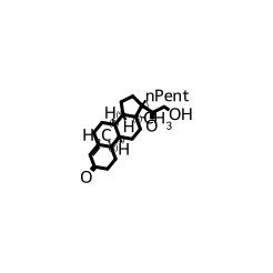 CCCCC[C@]1(C(=O)CO)CC[C@H]2[C@@H]3CCC4=CC(=O)CC[C@]4(C)[C@H]3CC[C@@]21C